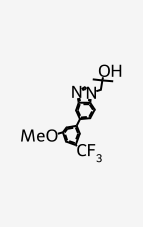 COc1cc(-c2ccc3c(c2)ncn3CC(C)(C)O)cc(C(F)(F)F)c1